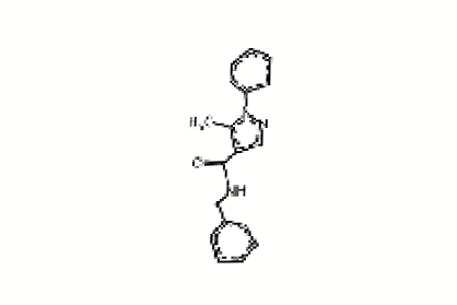 Cc1c(C(=O)NCc2ccccc2)cnn1-c1ccccc1